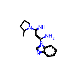 CC1CCCN1C(=N)/C=C(\N)n1cnc2ccccc21